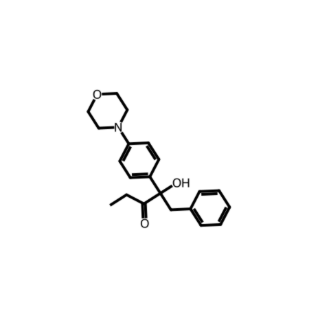 CCC(=O)C(O)(Cc1ccccc1)c1ccc(N2CCOCC2)cc1